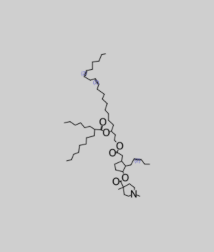 CC/C=C\CC1C(CC(=O)OCCC(CCCCCCCC/C=C\C/C=C\CCCCC)OC(=O)C(CCCCCC)CCCCCCCC)CCC1OC(=O)C1(C)CCN(C)CC1